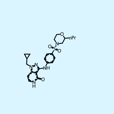 CCCC1CN(S(=O)(=O)c2ccc(Nc3nn(CC4CC4)c4cc[nH]c(=O)c34)cc2)CCO1